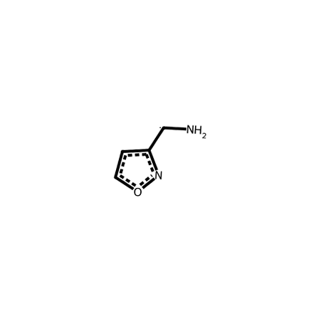 N[CH]c1ccon1